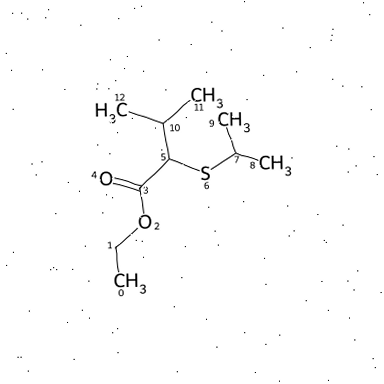 CCOC(=O)C(SC(C)C)C(C)C